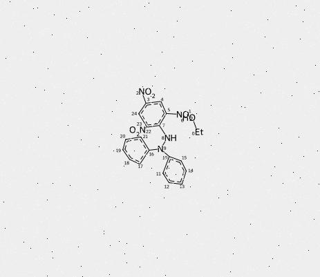 CCO.O=[N+]([O-])c1cc([N+](=O)[O-])c(NN(c2ccccc2)c2ccccc2)c([N+](=O)[O-])c1